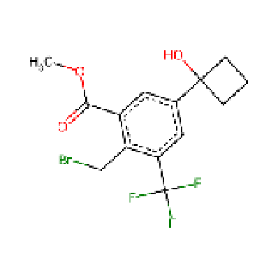 COC(=O)c1cc(C2(O)CCC2)cc(C(F)(F)F)c1CBr